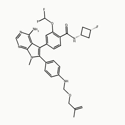 C=C(C)COCNc1ccc(-c2c(-c3ccc(C(=O)N[C@H]4C[C@@H](F)C4)c(OC(F)F)c3)c3c(N)ncnc3n2C)cc1